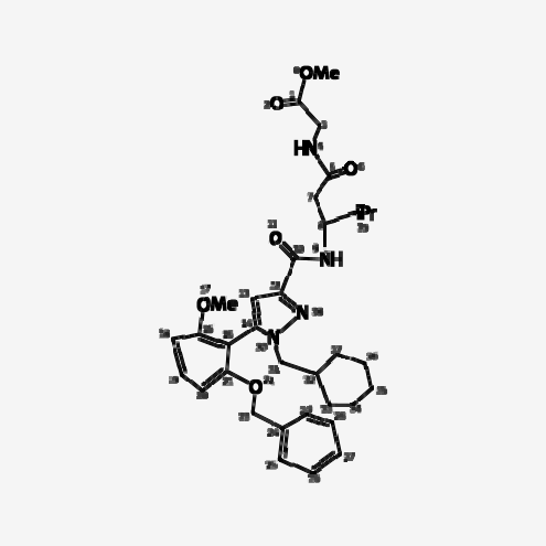 COC(=O)CNC(=O)CC(NC(=O)c1cc(-c2c(OC)cccc2OCc2ccccc2)n(CC2CCCCC2)n1)C(C)C